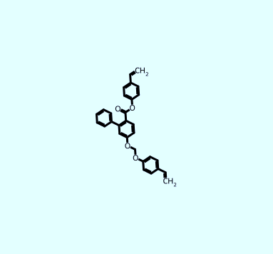 C=Cc1ccc(OCOc2ccc(C(=O)Oc3ccc(C=C)cc3)c(-c3ccccc3)c2)cc1